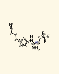 N#CCCCn1ncc(N/C(N)=N\CC(F)(F)F)n1